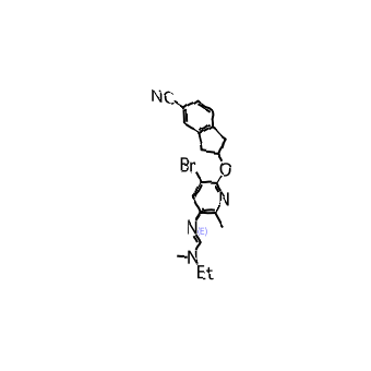 CCN(C)/C=N/c1cc(Br)c(OC2Cc3ccc(C#N)cc3C2)nc1C